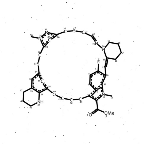 COC(=O)c1c2c3ccc(F)c(c3n1C)/C=C1\CCCCN1/N=C/CSCc1cc(n(C)n1)CSc1cc3c(c(c1)OCCC2)NCCC3